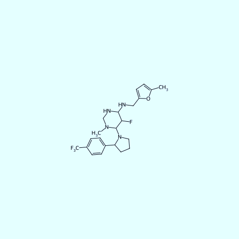 Cc1ccc(CNC2NCN(C)C(N3CCCC3c3ccc(C(F)(F)F)cc3)C2F)o1